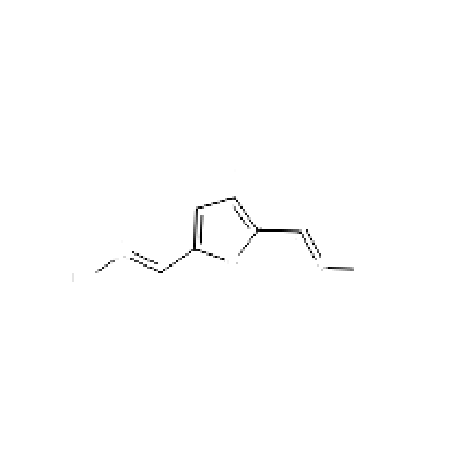 ON=Cc1ccc(C=NO)o1.[Ag]